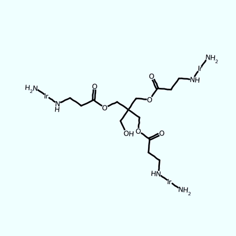 [NH2][Ir][NH]CCC(=O)OCC(CO)(COC(=O)CC[NH][Ir][NH2])COC(=O)CC[NH][Ir][NH2]